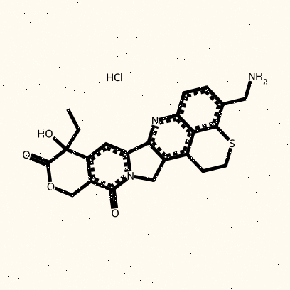 CCC1(O)C(=O)OCc2c1cc1n(c2=O)Cc2c-1nc1ccc(CN)c3c1c2CCS3.Cl